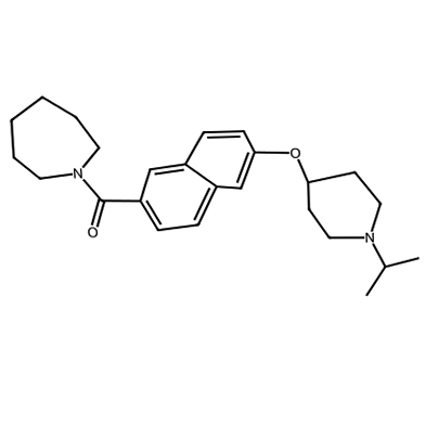 CC(C)N1CCC(Oc2ccc3cc(C(=O)N4CCCCCC4)ccc3c2)CC1